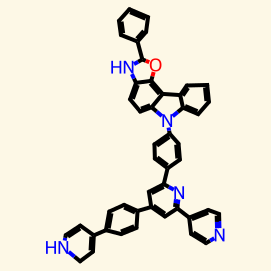 C1=CC(c2ccc(-c3cc(-c4ccncc4)nc(-c4ccc(-n5c6ccccc6c6c7c(ccc65)NC(c5ccccc5)O7)cc4)c3)cc2)=CCN1